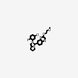 COCCOc1cnc2ccc(C3N4CCCC4=CN3c3cc(Cl)ccc3F)cc2n1